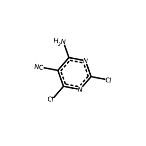 N#Cc1c(N)nc(Cl)nc1Cl